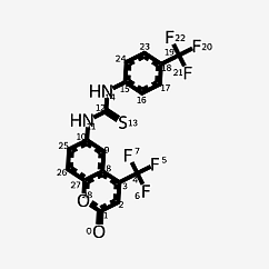 O=c1cc(C(F)(F)F)c2cc(NC(=S)Nc3ccc(C(F)(F)F)cc3)ccc2o1